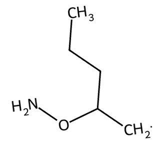 [CH2]C(CCC)ON